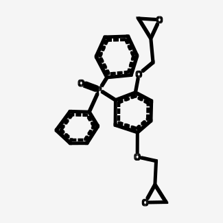 O=P(c1ccccc1)(c1ccccc1)c1cc(OCC2CO2)ccc1OCC1CO1